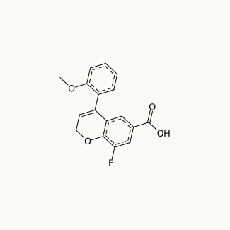 COc1ccccc1C1=CCOc2c(F)cc(C(=O)O)cc21